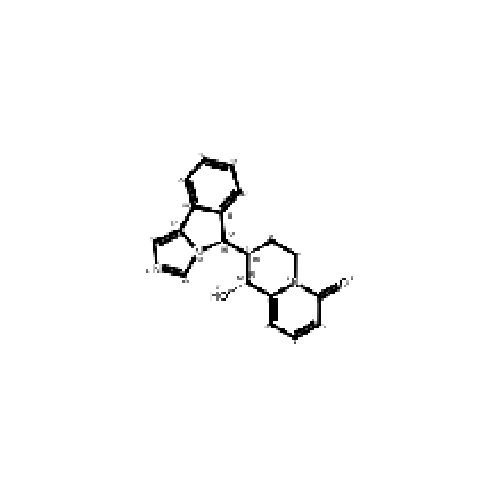 O=c1cccc2n1CC[C@H]([C@@H]1c3ccccc3-c3cncn31)[C@H]2O